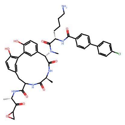 C[C@@H]1NC(=O)[C@@H](N(C)C(=O)[C@H](CCCCN)NC(=O)c2ccc(-c3ccc(Cl)cc3)cc2)c2ccc(O)c(c2)-c2cc(ccc2O)CC(C(=O)N[C@@H](C)C(=O)C2CO2)NC1=O